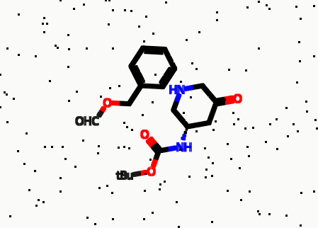 CC(C)(C)OC(=O)N[C@@H]1CNCC(=O)C1.O=COCc1ccccc1